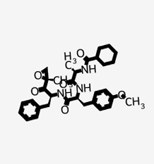 COc1ccc(C[C@H](NC(=O)[C@@H](C)NC(=O)C2CCCCC2)C(=O)N[C@@H](Cc2ccccc2)C(=O)[C@@]2(C)CO2)cc1